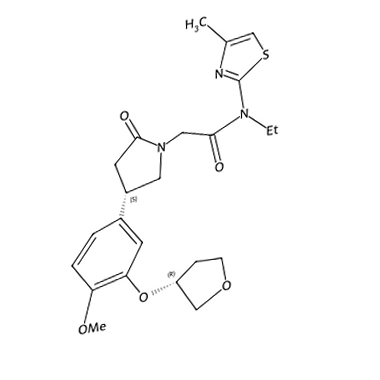 CCN(C(=O)CN1C[C@H](c2ccc(OC)c(O[C@@H]3CCOC3)c2)CC1=O)c1nc(C)cs1